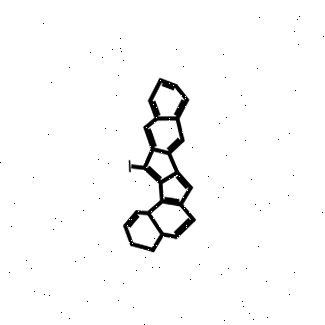 IC1=C2C(=CC3=C2C2C=CCCC2C=C3)c2cc3ccccc3cc21